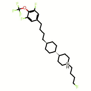 FCCCC[SiH]1CCC([C@H]2CC[C@H](CCCCc3cc(F)c(OC(F)(F)F)c(F)c3)CC2)CC1